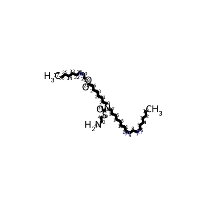 CCCCCC/C=C\C/C=C\CCCCCCCN(CCCCCCCC(=O)OC/C=C\CCCCCC)C(=O)SCCN